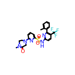 Cc1ccccc1-c1nc(NS(=O)(=O)c2cccc(N3CCN(C)C(=O)C3)n2)ccc1C(F)(F)F